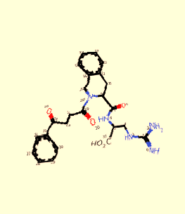 N=C(N)NCC(NC(=O)C1Cc2ccccc2CN1C(=O)CCC(=O)c1ccccc1)C(=O)O